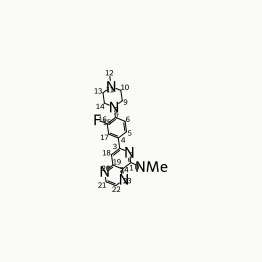 CNc1nc(-c2ccc(N3CCN(C)CC3)c(F)c2)cc2nccnc12